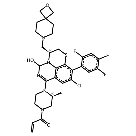 C=CC(=O)N1CCN(C2=NC(O)N3c4c2cc(Cl)c(-c2cc(F)c(F)cc2F)c4SC[C@@H]3CN2CCC3(CC2)COC3)[C@@H](C)C1